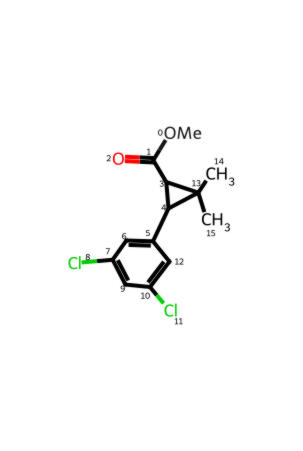 COC(=O)C1C(c2cc(Cl)cc(Cl)c2)C1(C)C